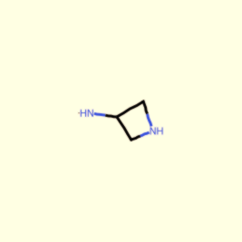 [NH]C1CNC1